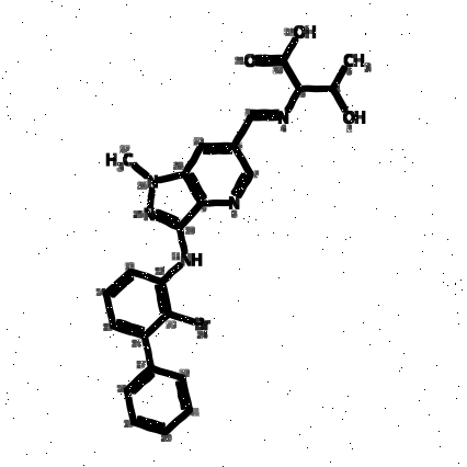 CC(O)C(N=Cc1cnc2c(Nc3cccc(-c4ccccc4)c3Br)nn(C)c2c1)C(=O)O